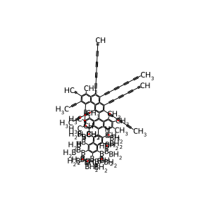 BBB(B)B(B(B)B)c1c(B(B(B)B)B(B)B)c(B(BB)B(B)B)c(B(B)B(B)B)c2c(C)c(-c3c4c(C)c(C)c(C)c(C)c4c(-c4c(C#CC#CC#CC)c(C#CC#CC#CC#C)c5c(C#CC#CC#CC#CC)c(C#CC#CC#CC#CC#C)c6c(C)c(C#C)c(C#CC)c(C#CC#C)c6c5c4C#CC#CC)c4c(C)c(C)c(C)c(C)c34)c(BB)c(B)c12